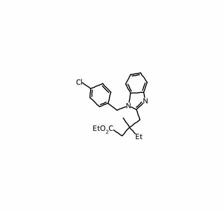 CCOC(=O)CC(C)(CC)Cc1nc2ccccc2n1Cc1ccc(Cl)cc1